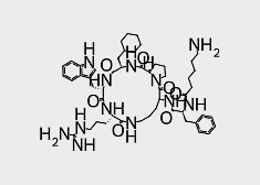 N=C(N)NCCC[C@@H]1NC(=O)[C@H](Cc2c[nH]c3ccccc23)NC(=O)[C@@H](CC2CCCCC2)NC(=O)[C@@H]2CCCN2C(=O)[C@@H](NC(=O)[C@H](Cc2ccccc2)NC(=O)CCCCCN)CCCNC1=O